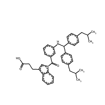 CC(C)Cc1ccc(C(Nc2cccc(C(=O)n3cc(CCC(=O)O)c4ccccc43)c2)c2ccc(CC(C)C)cc2)cc1